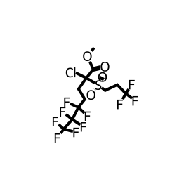 COC(=O)C(Cl)(CCC(F)(F)C(F)(F)C(F)(F)F)S(=O)(=O)CCC(F)(F)F